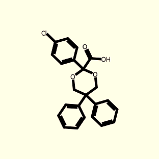 O=C(O)C1(c2ccc(Cl)cc2)OCC(c2ccccc2)(c2ccccc2)CO1